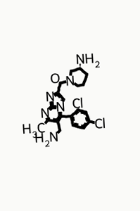 Cc1nc2nc(C(=O)N3CCC[C@@H](N)C3)cn2c(-c2ccc(Cl)cc2Cl)c1CN